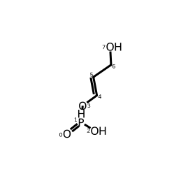 O=[PH](O)OC=CCO